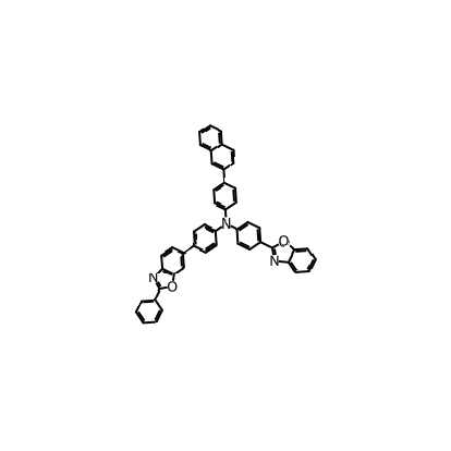 c1ccc(-c2nc3ccc(-c4ccc(N(c5ccc(-c6ccc7ccccc7c6)cc5)c5ccc(-c6nc7ccccc7o6)cc5)cc4)cc3o2)cc1